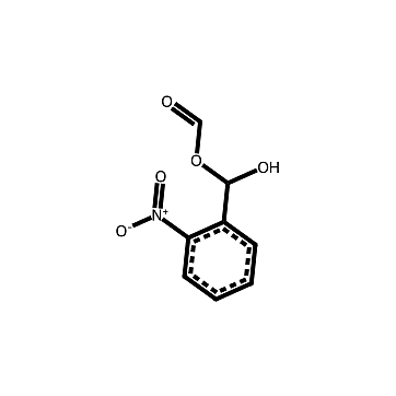 O=COC(O)c1ccccc1[N+](=O)[O-]